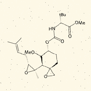 COC(=O)[C@H](NC(=O)O[C@@H]1CC[C@]2(CO2)[C@@H]([C@@]2(C)O[C@@H]2CC=C(C)C)C1OC)C(C)(C)C